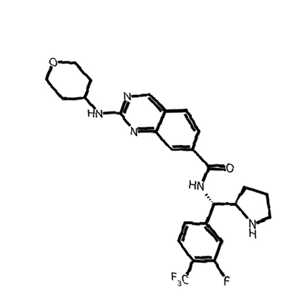 O=C(N[C@@H](c1ccc(C(F)(F)F)c(F)c1)[C@H]1CCCN1)c1ccc2cnc(NC3CCOCC3)nc2c1